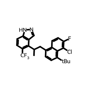 CC(Cc1ccc(C(C)(C)C)c2c(Cl)c(F)ccc12)c1c(C(F)(F)F)ccc2[nH]ncc12